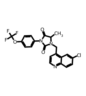 CC1C(=O)N(c2ccc(OC(F)(F)F)cc2)C(=O)N1Cc1ccnc2ccc(Cl)cc12